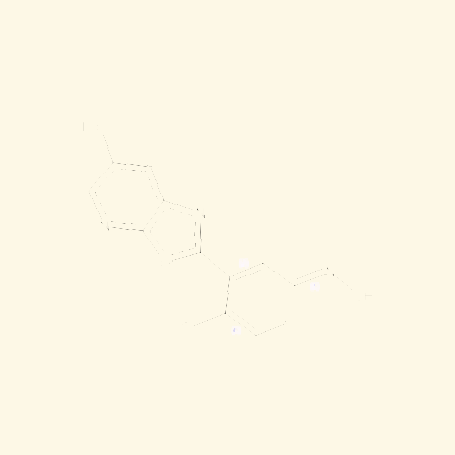 C\C=C(Cl)/C(=C\C=N\O)c1nc2cc(C(F)(F)F)cnc2o1